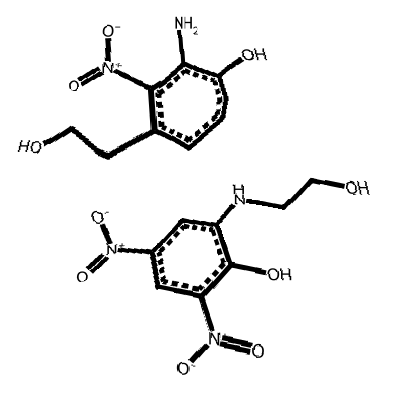 Nc1c(O)ccc(CCO)c1[N+](=O)[O-].O=[N+]([O-])c1cc(NCCO)c(O)c([N+](=O)[O-])c1